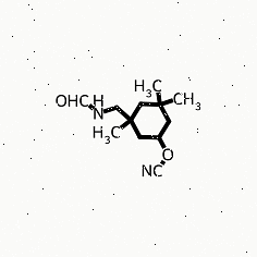 CC1(C)CC(OC#N)CC(C)(CNC=O)C1